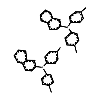 Cc1ccc(P(c2[c]c3ccccc3cc2)c2ccc(C)cc2)cc1.Cc1ccc(P(c2[c]c3ccccc3cc2)c2ccc(C)cc2)cc1